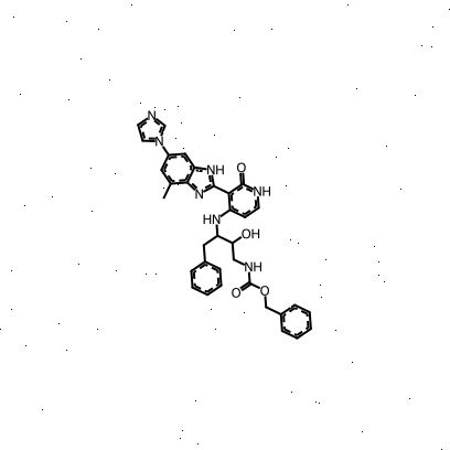 Cc1cc(-n2ccnc2)cc2[nH]c(-c3c(NC(Cc4ccccc4)C(O)CNC(=O)OCc4ccccc4)cc[nH]c3=O)nc12